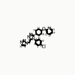 Clc1ccc(-n2c(Cn3ccnn3)nnc2[C@H]2CC[C@H](Oc3ccccn3)CC2)cc1